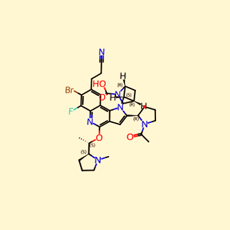 CC(=O)N1CCC[C@@H]1c1cc2c(O[C@@H](C)[C@@H]3CCCN3C)nc3c(F)c(Br)c(CCC#N)cc3c2n1[C@H]1[C@@H]2C[C@H]1N(C(=O)O)C2